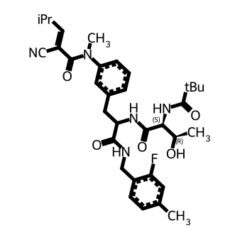 Cc1ccc(CNC(=O)C(Cc2cccc(N(C)C(=O)C(C#N)=CC(C)C)c2)NC(=O)[C@@H](NC(=O)C(C)(C)C)[C@@H](C)O)c(F)c1